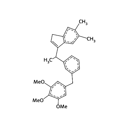 COc1cc(Cc2cccc(C(C)C3=CCc4cc(C)c(C)cc43)c2)cc(OC)c1OC